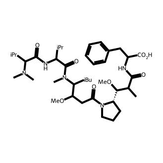 CCC(C)C(C(CC(=O)N1CCC[C@H]1C(OC)C(C)C(=O)NC(Cc1ccccc1)C(=O)O)OC)N(C)C(=O)C(NC(=O)C(C(C)C)N(C)C)C(C)C